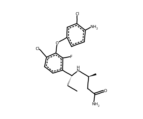 CC[C@@H](N[C@@H](C)CC(N)=O)c1ccc(Cl)c(Oc2ccc(N)c(Cl)c2)c1F